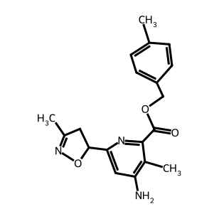 CC1=NOC(c2cc(N)c(C)c(C(=O)OCc3ccc(C)cc3)n2)C1